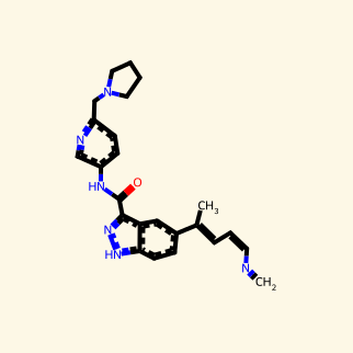 C=N/C=C\C=C(/C)c1ccc2[nH]nc(C(=O)Nc3ccc(CN4CCCC4)nc3)c2c1